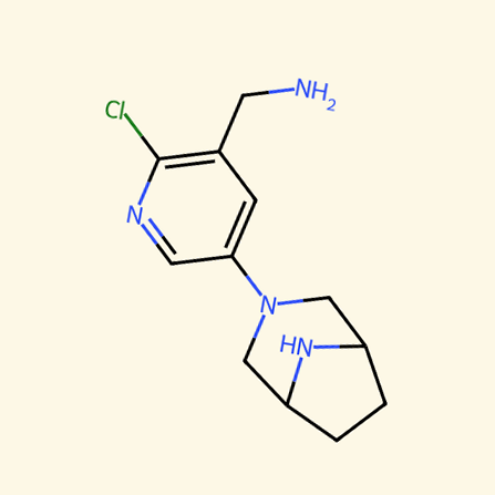 NCc1cc(N2CC3CCC(C2)N3)cnc1Cl